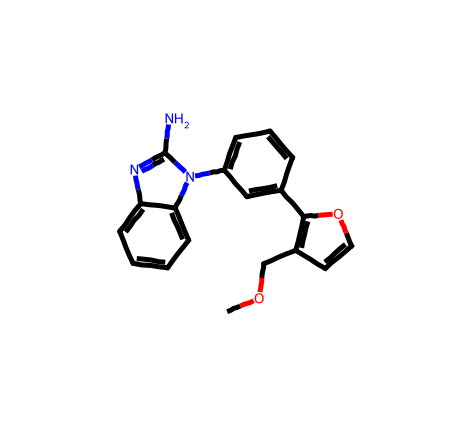 COCc1ccoc1-c1cccc(-n2c(N)nc3ccccc32)c1